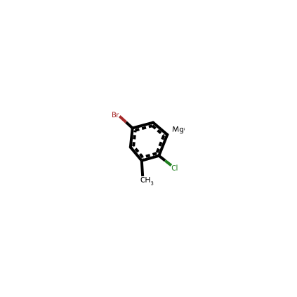 Cc1cc(Br)ccc1Cl.[Mg]